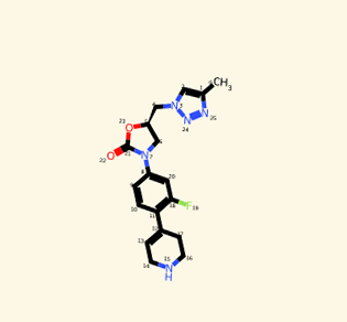 Cc1cn(C[C@H]2CN(c3ccc(C4=CCNCC4)c(F)c3)C(=O)O2)nn1